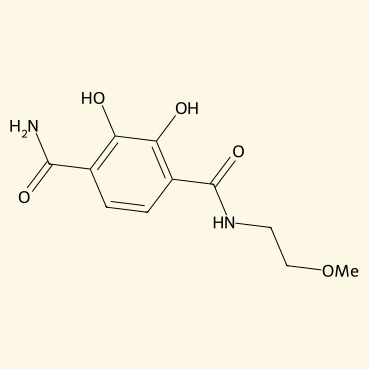 COCCNC(=O)c1ccc(C(N)=O)c(O)c1O